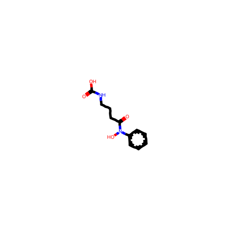 O=C(O)NCCCC(=O)N(O)c1ccccc1